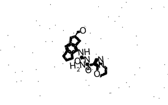 COC[C@@H]1Cc2cc3c(c(NC(=O)N=S(N)(=O)c4cnn5c4OCCC5)c2C1)CCC3